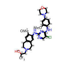 COc1cc2c(cc1Nc1ncc(Cl)c(Nc3ccc(N4CCOCC4)cc3OC)n1)CCN(CC(O)C(F)(F)F)CC2